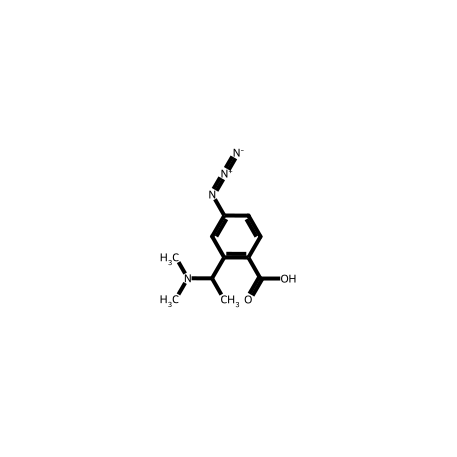 CC(c1cc(N=[N+]=[N-])ccc1C(=O)O)N(C)C